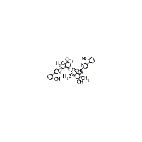 C[C@H]1[C@@H](/C=C/c2ccc(-c3ccccc3C#N)cn2)[C@H](C)[C@@H](C)C[C@H]1N(C)C(=O)C[C@@H]1CC[C@H](C)[C@@H](C)[C@@H]1/C=C/c1ccc(-c2ccccc2C#N)cn1